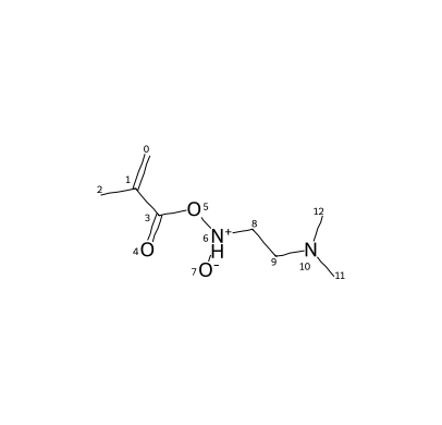 C=C(C)C(=O)O[NH+]([O-])CCN(C)C